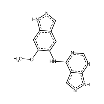 COc1cc2[nH]ncc2cc1Nc1ncnc2[nH]ncc12